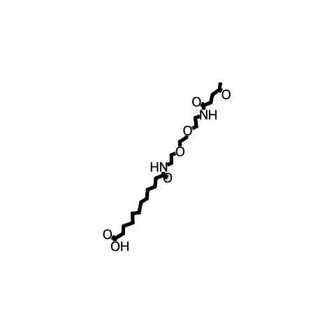 CC(=O)CCC(=O)NCCOCCOCCNC(=O)CCCCCCCCCCC(=O)O